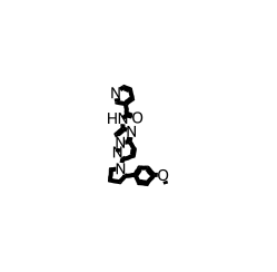 COc1ccc(C2CCCN2c2ccc3nc(NC(=O)c4cccnc4)cn3n2)cc1